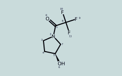 O=C(N1CC[C@H](O)C1)C(F)(F)F